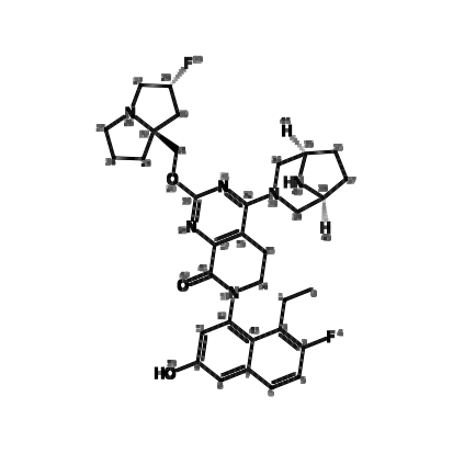 CCc1c(F)ccc2cc(O)cc(N3CCc4c(nc(OC[C@@]56CCCN5C[C@H](F)C6)nc4N4C[C@H]5CC[C@@H](C4)N5)C3=O)c12